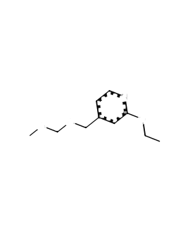 CCOc1cc(COCOC)ccn1